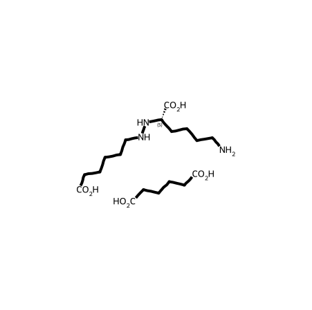 NCCCC[C@H](NNCCCCCC(=O)O)C(=O)O.O=C(O)CCCCC(=O)O